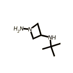 CC(C)(C)NC1CN(N)C1